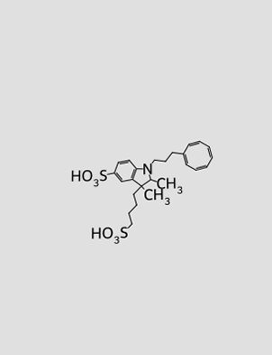 CC1N(CCCC2=C/C=C\C=C/C=C\2)c2ccc(S(=O)(=O)O)cc2C1(C)CCCCS(=O)(=O)O